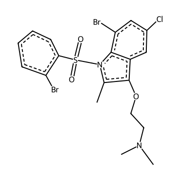 Cc1c(OCCN(C)C)c2cc(Cl)cc(Br)c2n1S(=O)(=O)c1ccccc1Br